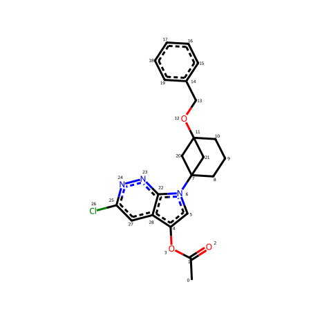 CC(=O)Oc1cn(C23CCCC(OCc4ccccc4)(C2)C3)c2nnc(Cl)cc12